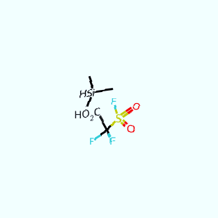 C[SiH](C)C.O=C(O)C(F)(F)S(=O)(=O)F